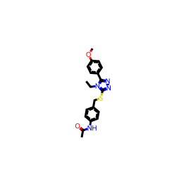 CCn1c(SCc2ccc(NC(C)=O)cc2)nnc1-c1ccc(OC)cc1